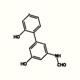 O=CNc1cc(O)cc(-c2cc[c]cc2O)c1